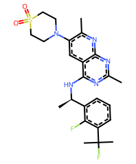 Cc1nc(N[C@H](C)c2cccc(C(C)(C)F)c2F)c2cc(N3CCS(=O)(=O)CC3)c(C)nc2n1